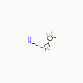 CNCCCCCc1cc(-c2cc(C)c(F)c(C)c2)cnc1C